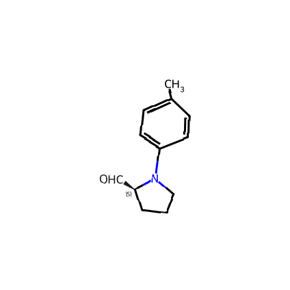 Cc1ccc(N2CCC[C@H]2C=O)cc1